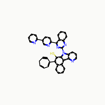 Sc1c(C2=CC=CCC#C2)c2ccccc2c2c3ncccc3n(-c3nc(-c4ccc(-c5ccccn5)cn4)c4ccccc4n3)c12